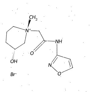 C[N@+]1(CC(=O)Nc2ccon2)CCC[C@@H](O)C1.[Br-]